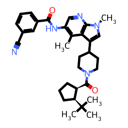 Cc1c(NC(=O)c2cccc(C#N)c2)cnc2c1c(C1CCN(C(=O)[C@@H]3CCC[C@@H]3C(C)(C)C)CC1)cn2C